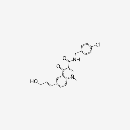 Cn1cc(C(=O)NCc2ccc(Cl)cc2)c(=O)c2cc(C=CCO)ccc21